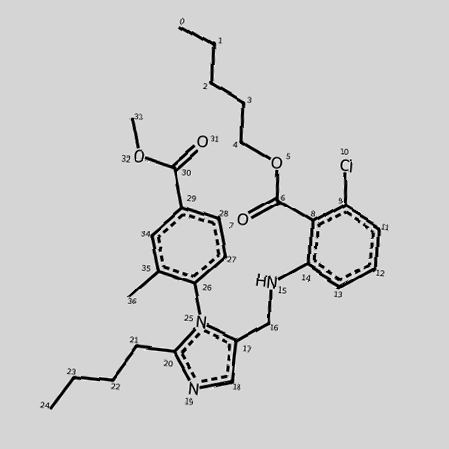 CCCCCOC(=O)c1c(Cl)cccc1NCc1cnc(CCCC)n1-c1ccc(C(=O)OC)cc1C